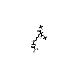 CC(C)(C)OC(=O)C(C)(CCCCNc1ncc([N+](=O)[O-])s1)C(=O)OC(C)(C)C